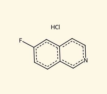 Cl.Fc1ccc2cnccc2c1